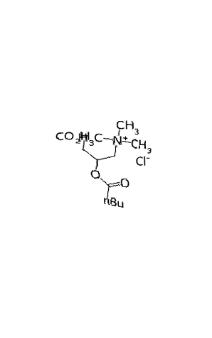 CCCCC(=O)OC(CC(=O)O)C[N+](C)(C)C.[Cl-]